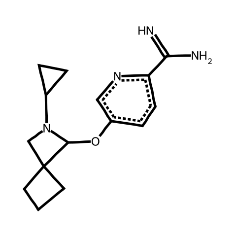 N=C(N)c1ccc(OC2N(C3CC3)CC23CCC3)cn1